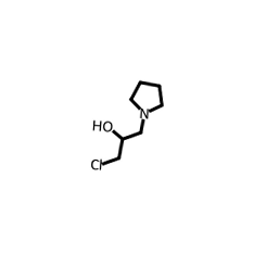 OC(CCl)CN1CCCC1